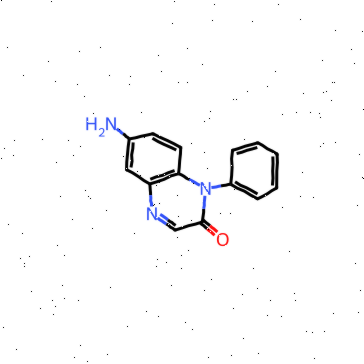 Nc1ccc2c(c1)ncc(=O)n2-c1ccccc1